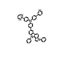 c1ccc(-n2ccc3c2ccc2c4cc(-c5ccc(N(c6ccc(-c7cccnc7)cc6)c6ccc(-c7ncccn7)cc6)cc5)ccc4n(-c4ccccc4)c23)cc1